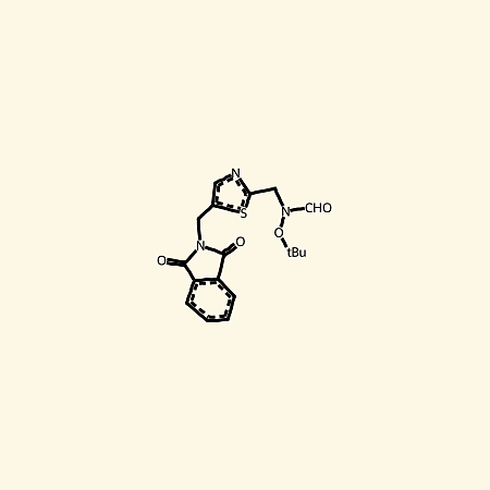 CC(C)(C)ON(C=O)Cc1ncc(CN2C(=O)c3ccccc3C2=O)s1